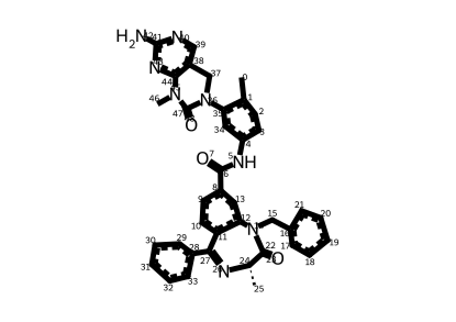 Cc1ccc(NC(=O)c2ccc3c(c2)N(Cc2ccccc2)C(=O)[C@H](C)N=C3c2ccccc2)cc1N1Cc2cnc(N)nc2N(C)C1=O